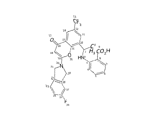 CC(Nc1ccccc1C(=O)O)c1cc(C(F)(F)F)cc2c(=O)cc(N3Cc4ccc(F)cc4C3)oc12